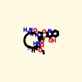 CCOC(=O)[C@@]12C[C@H]1/C=C\CCCCC[C@H](N)C(=O)N1C[C@H](Oc3nc4ccccc4c(O)c3Br)C[C@H]1C(=O)N2